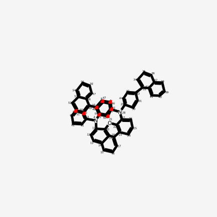 c1ccc(N(c2ccccc2)c2ccc3cccc4c3c2Oc2c-4cccc2N(c2ccc(-c3cccc4ccccc34)cc2)c2ccc(-c3cccc4ccccc34)cc2)cc1